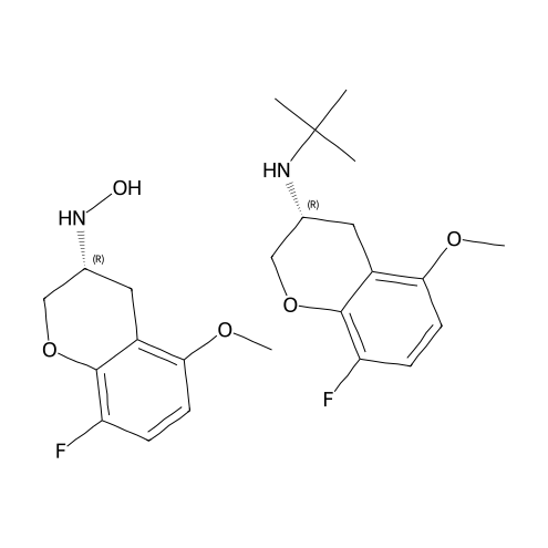 COc1ccc(F)c2c1C[C@@H](NC(C)(C)C)CO2.COc1ccc(F)c2c1C[C@@H](NO)CO2